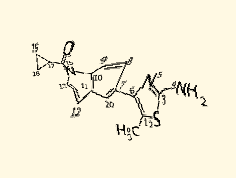 Cc1sc(N)nc1-c1ccc2c(ccn2C(=O)C2CC2)c1